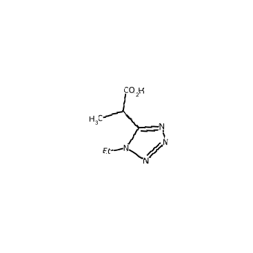 CCn1nnnc1C(C)C(=O)O